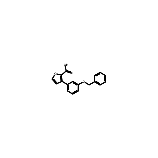 O=C(O)c1occc1-c1cccc(OCc2ccccc2)c1